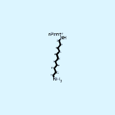 CCCCCNCCCCCCCCCCCN